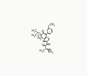 CCc1cccc(N2C(=O)C(C)(CC(C)C)Oc3nc(NC(=O)[C@H](C)NC)ccc32)c1